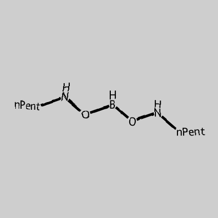 CCCCCNOBONCCCCC